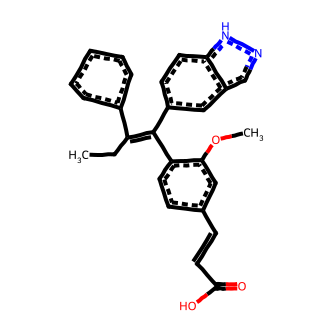 CCC(=C(c1ccc2[nH]ncc2c1)c1ccc(C=CC(=O)O)cc1OC)c1ccccc1